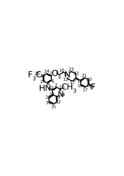 Cc1cc(Nc2cc(OCCN3CCC(c4ccc(F)cc4)CC3)cc(C(F)(F)F)c2)c2ccccc2n1